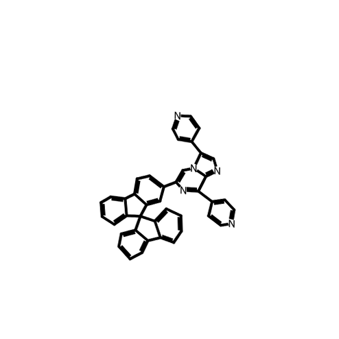 c1ccc2c(c1)-c1ccccc1C21c2ccccc2-c2ccc(-c3cn4c(-c5ccncc5)cnc4c(-c4ccncc4)n3)cc21